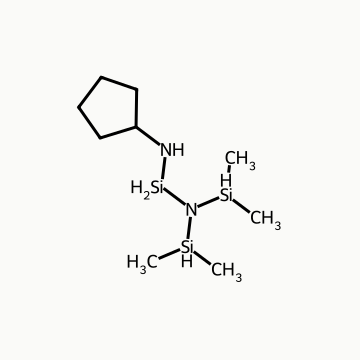 C[SiH](C)N([SiH2]NC1CCCC1)[SiH](C)C